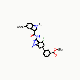 COc1ccc2c(c1)c(C(=O)Nc1nn(C)c3cc(-c4cccc(C(=O)OC(C)(C)C)c4)cc(F)c13)cn2C(C)=O